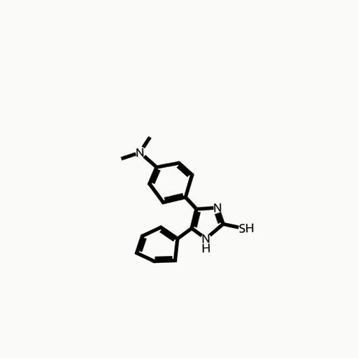 CN(C)c1ccc(-c2nc(S)[nH]c2-c2ccccc2)cc1